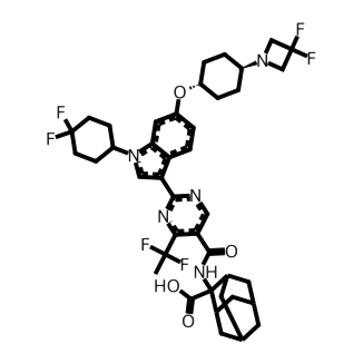 CC(F)(F)c1nc(-c2cn(C3CCC(F)(F)CC3)c3cc(O[C@H]4CC[C@H](N5CC(F)(F)C5)CC4)ccc23)ncc1C(=O)NC1(C(=O)O)C2CC3CC(C2)CC1C3